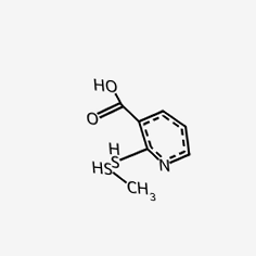 CS.O=C(O)c1cccnc1S